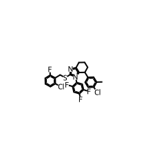 Cc1cc(C2CCCc3nc(SCc4c(F)cccc4Cl)n(-c4cc(F)c(F)cc4F)c32)ccc1Cl